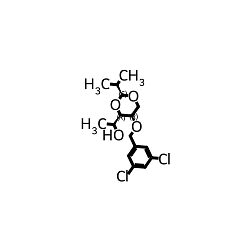 CC(C)[C@H]1OC[C@@H](OCc2cc(Cl)cc(Cl)c2)[C@@H](C(C)O)O1